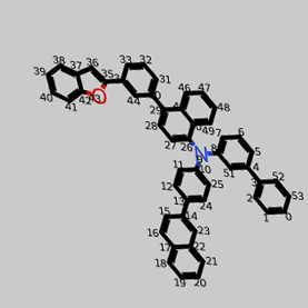 c1ccc(-c2cccc(N(c3ccc(-c4ccc5ccccc5c4)cc3)c3ccc(-c4cccc(-c5cc6ccccc6o5)c4)c4ccccc34)c2)cc1